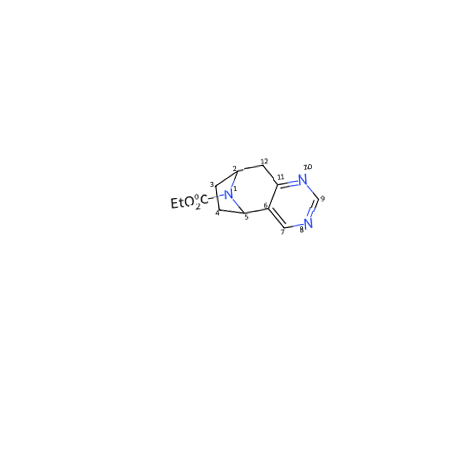 CCOC(=O)N1C2CCC1c1cncnc1C2